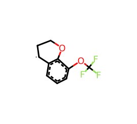 FC(F)(F)Oc1cccc2c1OCC[CH]2